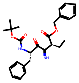 CC[C@@H](C(=N)C(=O)[C@H](Cc1ccccc1)NC(=O)OC(C)(C)C)C(=O)OCc1ccccc1